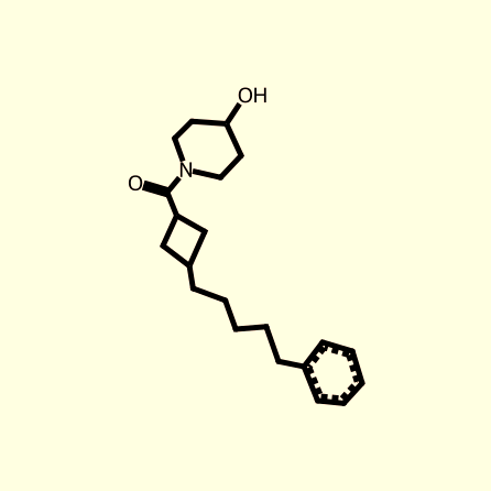 O=C(C1CC(CCCCCc2ccccc2)C1)N1CCC(O)CC1